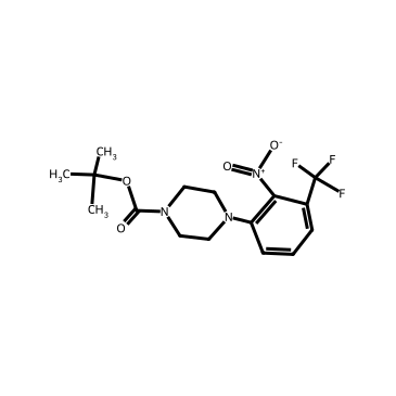 CC(C)(C)OC(=O)N1CCN(c2cccc(C(F)(F)F)c2[N+](=O)[O-])CC1